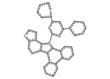 c1ccc(-c2cc(-c3ccccc3)nc(-n3c4c5ccsc5ccc4c4c5ccccc5c5ccccc5c43)n2)cc1